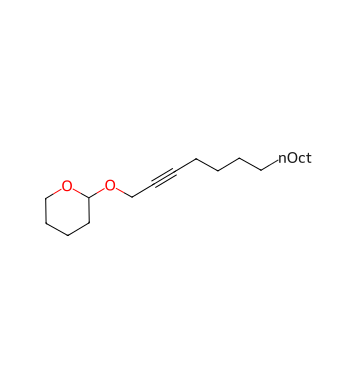 CCCCCCCCCCCCC#CCOC1CCCCO1